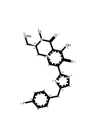 CCN1C(=O)c2c(O)c(=O)c(-c3ncc(Cc4ccc(F)cc4)s3)cn2C[C@H]1COC